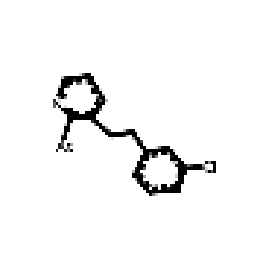 CC(=O)c1ncccc1CCc1cccc(Cl)c1